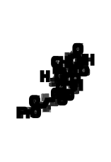 C=NC[C@]1(C)[C@@H]2OP(=O)(OCCCC(=O)OC(C)C)OC[C@H]2O[C@H]1n1ccc(=O)[nH]c1=O